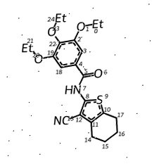 CCOc1cc(C(=O)Nc2sc3c(c2C#N)CCCC3)cc(OCC)c1OCC